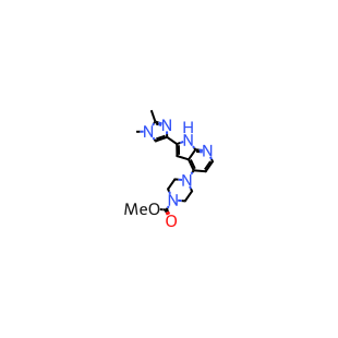 COC(=O)N1CCN(c2ccnc3[nH]c(-c4cn(C)c(C)n4)cc23)CC1